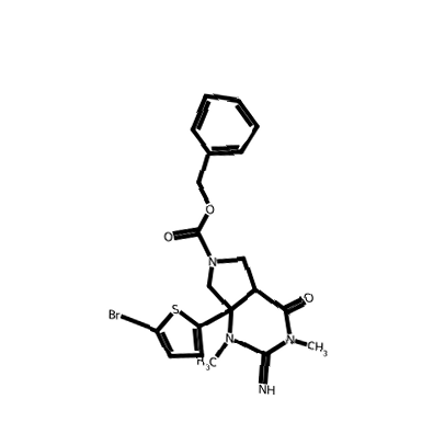 CN1C(=N)N(C)C2(c3ccc(Br)s3)CN(C(=O)OCc3ccccc3)CC2C1=O